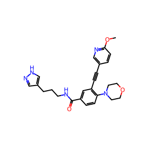 COc1ccc(C#Cc2cc(C(=O)NCCCc3cn[nH]c3)ccc2N2CCOCC2)cn1